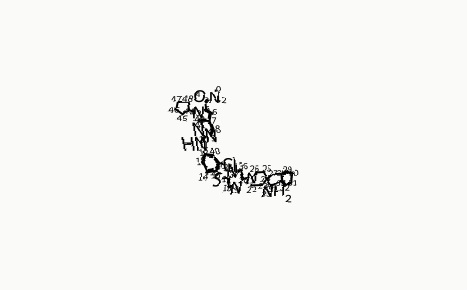 CN(C)C(=O)c1cc2cnc(Nc3ccc(Sc4cnc(N5CCC6(CC5)Cc5ccccc5[C@H]6N)cn4)c(Cl)c3)nc2n1C1CCCC1